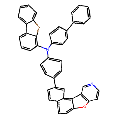 c1ccc(-c2ccc(N(c3ccc(-c4ccc5ccc6oc7ccncc7c6c5c4)cc3)c3cccc4c3sc3ccccc34)cc2)cc1